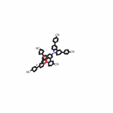 N#Cc1ccc(-c2ccc3c(c2)c2cc(-c4ccc(C#N)cc4)ccc2n3-c2ccc(-c3ccc(C(F)(F)F)cc3C#N)c(-c3cc(C#N)ccc3-n3c4ccc(-c5ccc(C#N)cc5)cc4c4cc(-c5ccc(C#N)cc5)ccc43)c2)cc1